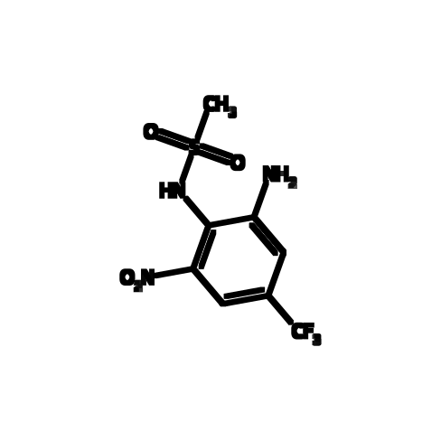 CS(=O)(=O)Nc1c(N)cc(C(F)(F)F)cc1[N+](=O)[O-]